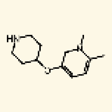 CC1=CC=C(OC2CCNCC2)CN1C